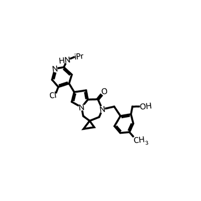 Cc1ccc(CN2CC3(CC3)Cn3cc(-c4cc(NC(C)C)ncc4Cl)cc3C2=O)c(CO)c1